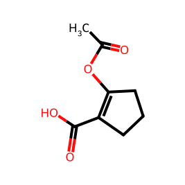 CC(=O)OC1=C(C(=O)O)CCC1